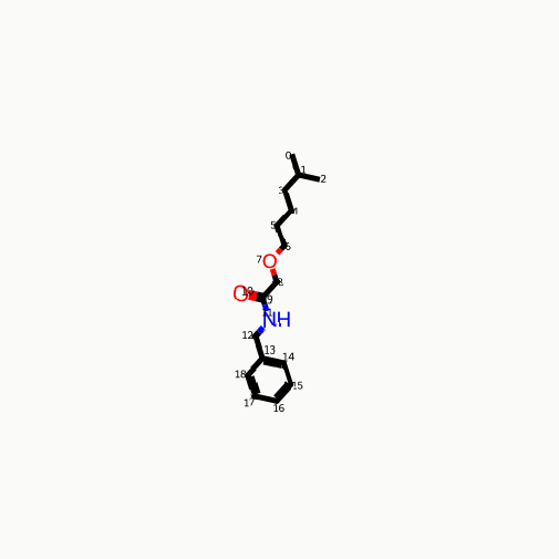 CC(C)CCCCOCC(=O)NCc1ccccc1